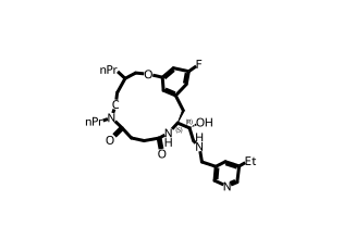 CCCC1CCN(CCC)C(=O)CCC(=O)N[C@H]([C@H](O)CNCc2cncc(CC)c2)Cc2cc(F)cc(c2)OC1